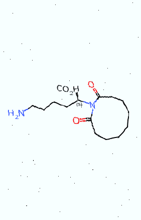 NCCCC[C@@H](C(=O)O)N1C(=O)CCCCCCCC1=O